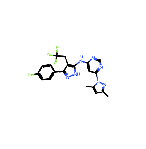 Cc1cc(C)n(-c2cc(Nc3[nH]nc(-c4ccc(F)cc4)c3CC(F)(F)F)ncn2)n1